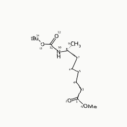 COC(=O)CCCCC[C@@H](C)NC(=O)OC(C)(C)C